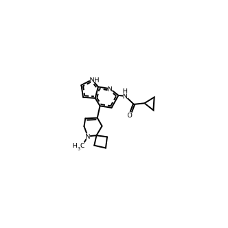 CN1CC=C(c2cc(NC(=O)C3CC3)nc3[nH]ccc23)CC12CCC2